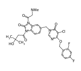 CNCC(=O)n1c(=O)n(C(=O)CC(C)(C)O)c2ccc(Cn3cnc(OCc4ccc(F)cc4F)c(Cl)c3=O)cc21